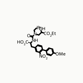 CCOC(=O)C(O)CN(CC(C)C)C(=O)N[C@@H](Cc1ccc(-c2ccc(OC)cc2)c([N+](=O)[O-])c1)C(=O)O